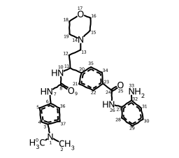 CN(C)c1ccc(NC(=O)NC(CCN2CCOCC2)c2ccc(C(=O)Nc3ccccc3N)cc2)cc1